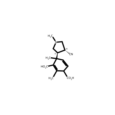 CC1=C(C(=O)O)C(C)([C@H]2CN(C)C[C@@H]2C#N)C=CC1C(=O)O